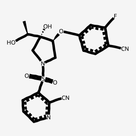 C[C@H](O)[C@]1(O)CN(S(=O)(=O)c2cccnc2C#N)C[C@@H]1Oc1ccc(C#N)c(F)c1